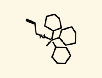 C=C[CH2][Pd][P](C)(C1CCCCC1)(C1CCCCC1)C1CCCCC1